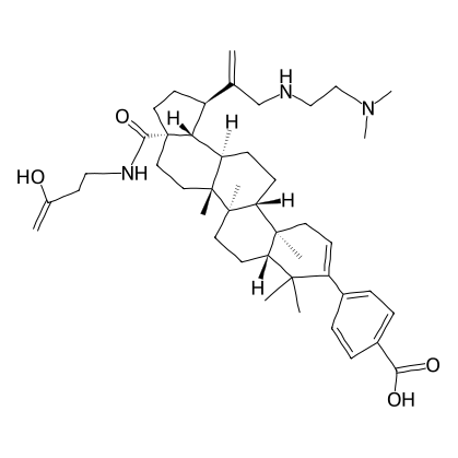 C=C(O)CCNC(=O)[C@]12CC[C@@H](C(=C)CNCCN(C)C)[C@@H]1[C@H]1CC[C@@H]3[C@@]4(C)CC=C(c5ccc(C(=O)O)cc5)C(C)(C)[C@@H]4CC[C@@]3(C)[C@]1(C)CC2